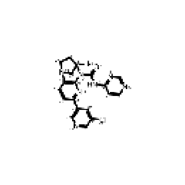 O=C(Nc1ccncn1)N1c2nc(-c3cncc(Cl)c3)ccc2N2CC[C@H]1C2